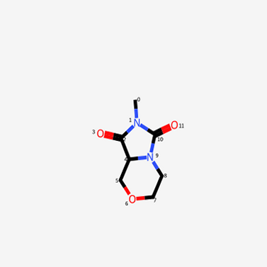 CN1C(=O)C2COCCN2C1=O